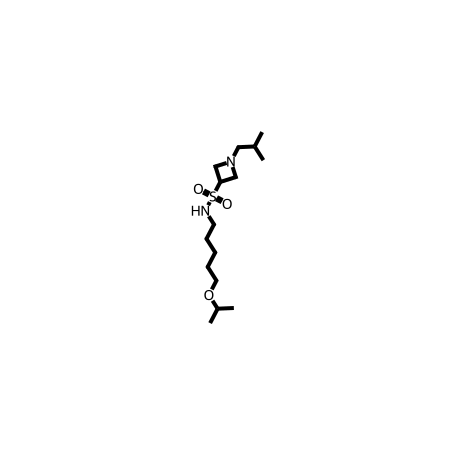 CC(C)CN1CC(S(=O)(=O)NCCCCCOC(C)C)C1